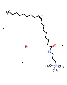 CCCCCCCC/C=C\CCCCCCCC(=O)NCCC[N+](C)(C)C.[Br-]